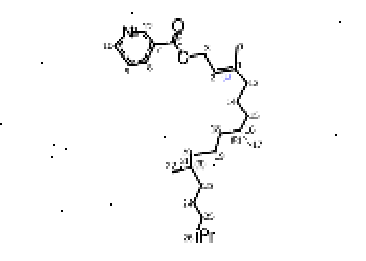 C/C(=C\COC(=O)c1cccnc1)CCC[C@H](C)CCC[C@H](C)CCCC(C)C